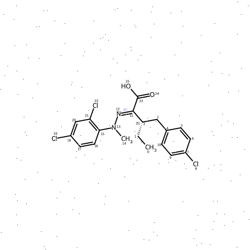 CC[C@@H](Cc1ccc(Cl)cc1)/C(=N\N(C)c1ccc(Cl)cc1Cl)C(=O)O